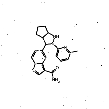 Cc1cccc(N2NC3CCCC3C2c2ccn3ncc(C(N)=O)c3c2)n1